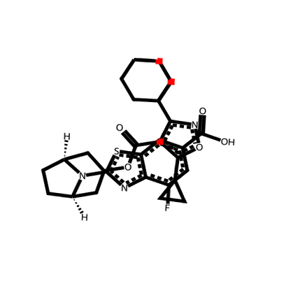 O=C(O)c1cc(F)c2nc(N3[C@@H]4CC[C@H]3CC(OC(=O)c3c(C56CCC(CC5)CC6)noc3C3CC3)C4)sc2c1